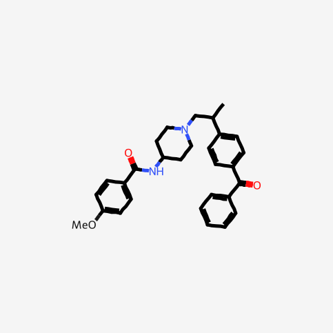 COc1ccc(C(=O)NC2CCN(CC(C)c3ccc(C(=O)c4ccccc4)cc3)CC2)cc1